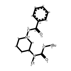 CCN(C(=O)OC(C)(C)C)C1CCCN(OC(=O)c2ccccc2)C1